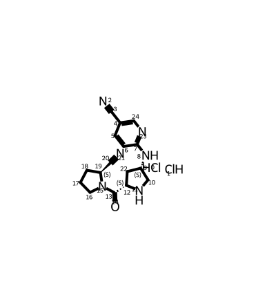 Cl.Cl.N#Cc1ccc(N[C@@H]2CN[C@H](C(=O)N3CCC[C@H]3C#N)C2)nc1